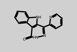 O=c1[nH]nc(-c2ccccn2)c2[nH]c3ccccc3c12